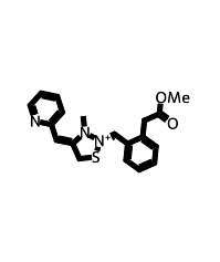 COC(=O)Cc1ccccc1C=[N+]1SCC(=Cc2ccccn2)N1C